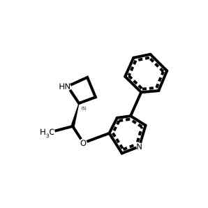 CC(Oc1cncc(-c2ccccc2)c1)[C@@H]1CCN1